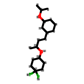 CC(C)OC1CCCC(CCC(C)OC2CCC(F)(F)CC2)C1